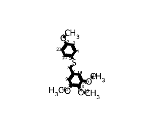 COc1ccc(SCc2cc(OC)c(OC)c(OC)c2)cc1